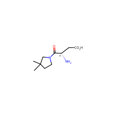 CC1(C)CCN(C(=O)[C@@H](N)CC(=O)O)C1